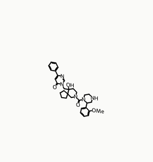 COc1ccccc1C1CNCCN1C(=O)N1CCC(O)(Cn2cnc(-c3ccccc3)cc2=O)C2(CCCC2)C1